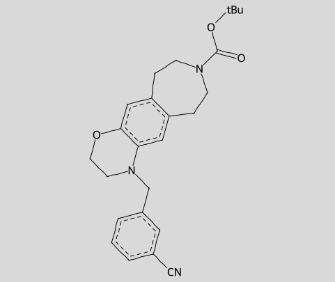 CC(C)(C)OC(=O)N1CCc2cc3c(cc2CC1)N(Cc1cccc(C#N)c1)CCO3